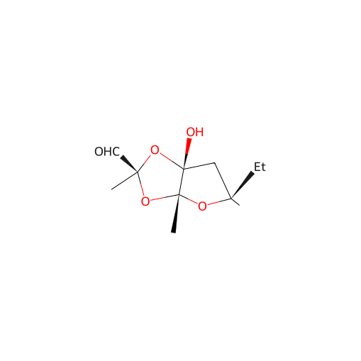 CC[C@]1(C)C[C@@]2(O)O[C@](C)(C=O)O[C@@]2(C)O1